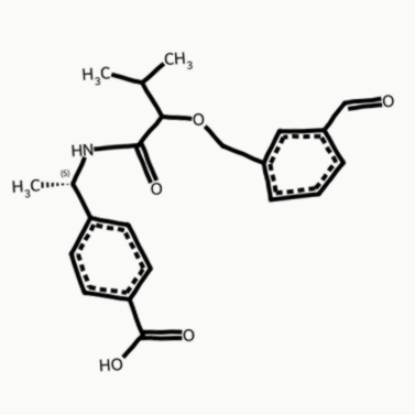 CC(C)C(OCc1cccc(C=O)c1)C(=O)N[C@@H](C)c1ccc(C(=O)O)cc1